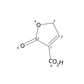 O=C(O)C1=CCOC1=O